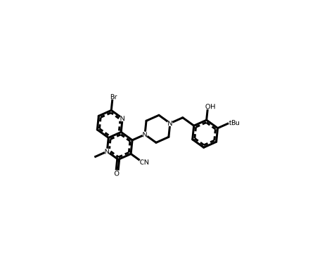 Cn1c(=O)c(C#N)c(N2CCN(Cc3cccc(C(C)(C)C)c3O)CC2)c2nc(Br)ccc21